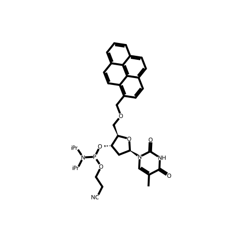 Cc1cn([C@H]2C[C@H](OP(OCCC#N)N(C(C)C)C(C)C)[C@@H](COCc3ccc4ccc5cccc6ccc3c4c56)O2)c(=O)[nH]c1=O